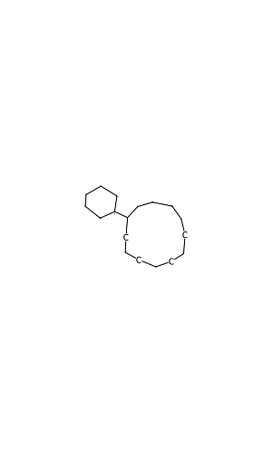 C1CCCCCC([C]2CCCCC2)CCCCC1